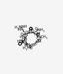 CC(=O)N[C@H]1CC(=O)NCCCC[C@@H](C(N)=O)NC(=O)[C@H](Cc2c[nH]c3ccccc23)NC(=O)[C@H]2CN(C(=O)[C@@H](Cc3ccccc3)NC(=O)[C@H](CCC(N)=O)NC1=O)[C@@H](CCCNC(=N)N)C(=O)N2